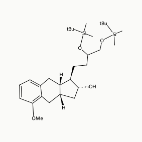 COc1cccc2c1C[C@H]1C[C@@H](O)[C@H](CCC(CO[Si](C)(C)C(C)(C)C)O[Si](C)(C)C(C)(C)C)[C@H]1C2